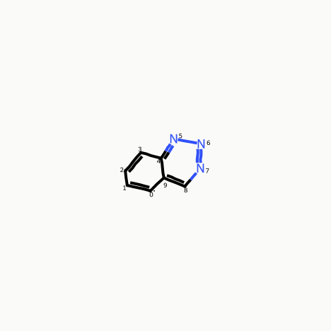 [c]1cccc2nnncc12